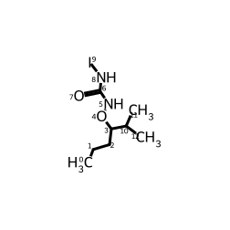 CCCC(ONC(=O)NI)C(C)C